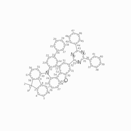 CC1(C)c2ccccc2-c2c(N(c3ccc(-c4ccccc4)cc3)c3cccc4oc5cc(-c6nc(-c7ccccc7)nc(-c7ccccc7)n6)ccc5c34)cccc21